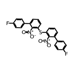 O=[N+]([O-])c1c(Sc2cccc(-c3ccc(F)cc3)c2[N+](=O)[O-])cccc1-c1ccc(F)cc1